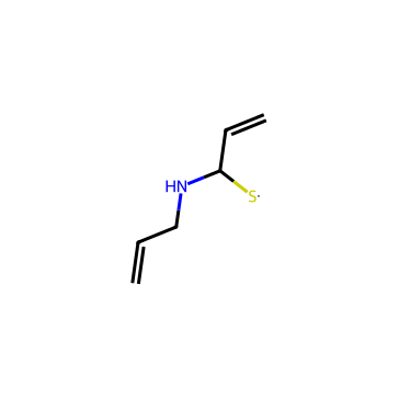 C=CCNC([S])C=C